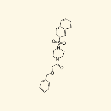 O=C(COCc1ccccc1)N1CCN(S(=O)(=O)C2C=c3ccccc3=CC2)CC1